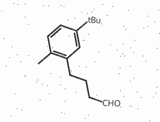 Cc1ccc(C(C)(C)C)cc1CCCC=O